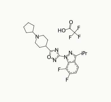 CC(C)c1nn(-c2noc(C3CCN(C4CCCC4)CC3)n2)c2c(F)c(F)ccc12.O=C(O)C(F)(F)F